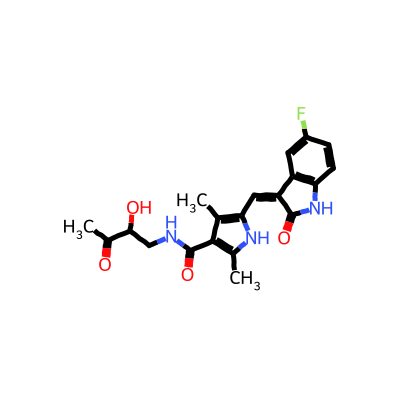 CC(=O)C(O)CNC(=O)c1c(C)[nH]c(/C=C2\C(=O)Nc3ccc(F)cc32)c1C